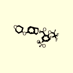 C[C@H](Oc1ccc(S(C)(=O)=O)cc1C(=O)N1Cc2ccc(OC3CCOCC3)cc2C1)C(F)(F)F